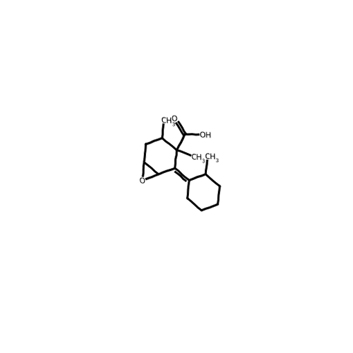 CC1CCCCC1=C1C2OC2CC(C)C1(C)C(=O)O